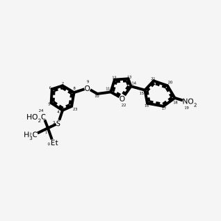 CCC(C)(Sc1cccc(OCc2ccc(-c3ccc([N+](=O)[O-])cc3)o2)c1)C(=O)O